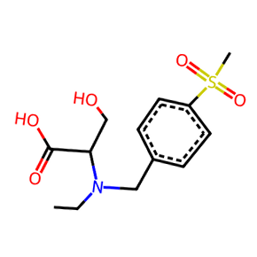 CCN(Cc1ccc(S(C)(=O)=O)cc1)C(CO)C(=O)O